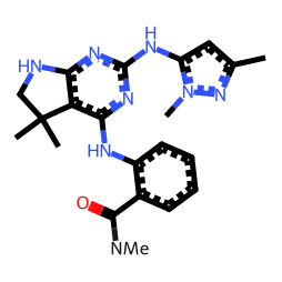 CNC(=O)c1ccccc1Nc1nc(Nc2cc(C)nn2C)nc2c1C(C)(C)CN2